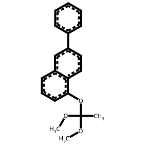 COC(C)(OC)Oc1cccc2cc(-c3ccccc3)ccc12